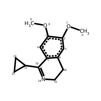 COc1cc2c(cc1OC)C(C1CC1)=NCC2